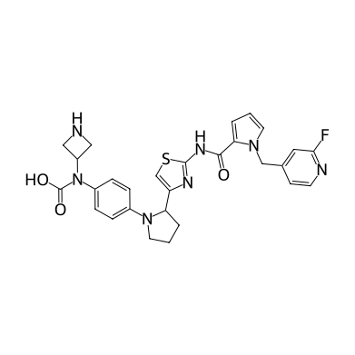 O=C(Nc1nc(C2CCCN2c2ccc(N(C(=O)O)C3CNC3)cc2)cs1)c1cccn1Cc1ccnc(F)c1